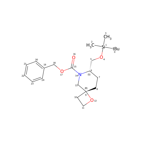 CC(C)(C)[Si](C)(C)OC[C@@H]1CC[C@@]2(CCO2)CN1C(=O)OCc1ccccc1